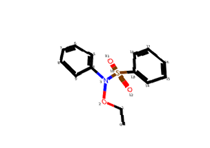 CCON(c1ccccc1)S(=O)(=O)c1cc[c]cc1